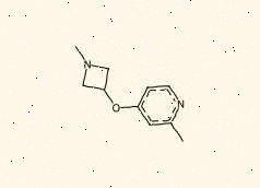 Cc1cc(OC2CN(C)C2)ccn1